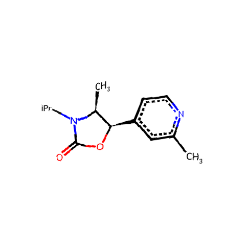 Cc1cc([C@H]2OC(=O)N(C(C)C)[C@H]2C)ccn1